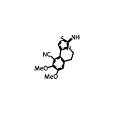 COc1cc2c(c(C#N)c1OC)-c1csc(=N)n1CC2